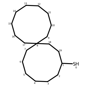 SC1CCCCCCC2(CCCCCCCCC2)CC1